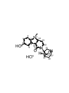 Cl.Cn1c2ccc(O)cc2c2c(=O)n([C@@H]3CN4CCC3CC4)ccc21